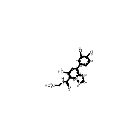 O=C(O)CNC(=O)c1c(O)cc(-c2ccc(Cl)c(Cl)c2)c2ncnn12